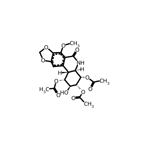 COc1c2c(cc3c1C(=O)N[C@H]1[C@H](OC(C)=O)[C@H](OC(C)=O)[C@@H](O)[C@H](OC(C)=O)[C@H]31)OCO2